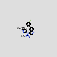 COc1ccc(-n2c(=NC#N)n(C)c3cnc4ccc(-c5cc(F)ccc5OC)cc4c32)cn1